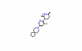 C=C1CCC(c2ncc(N3CCC4(CCCC4)CC3)cc2F)C(=C)N1